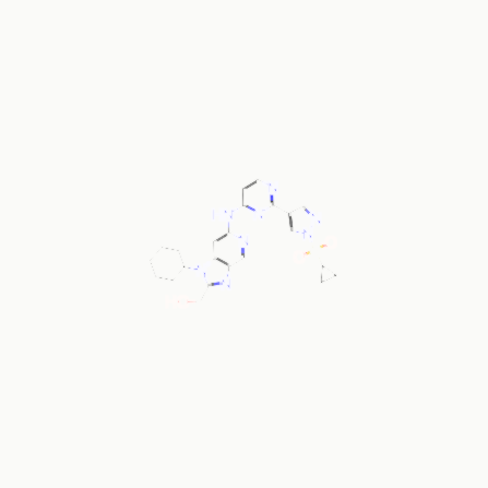 O=S(=O)(C1CC1)n1cc(-c2nccc(Nc3cc4c(cn3)nc(CO)n4C3CCCCC3)n2)cn1